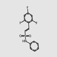 O=S(=O)(C=Cc1c(F)cc(F)cc1F)Nc1ccccc1